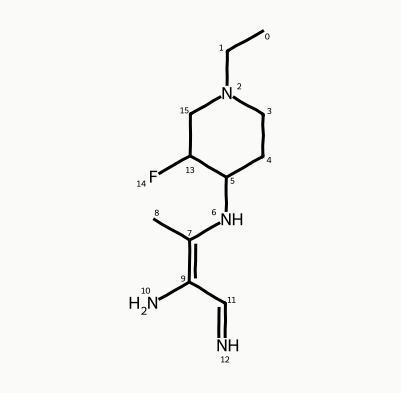 CCN1CCC(N/C(C)=C(/N)C=N)C(F)C1